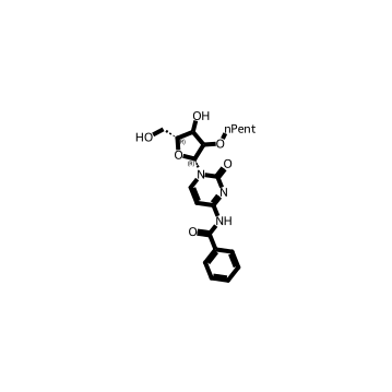 CCCCCOC1C(O)[C@@H](CO)O[C@H]1n1ccc(NC(=O)c2ccccc2)nc1=O